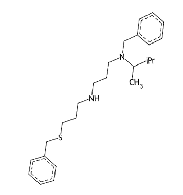 CC(C)C(C)N(CCCNCCCSCc1ccccc1)Cc1ccccc1